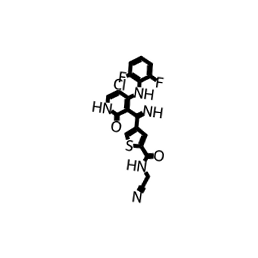 N#CCNC(=O)c1cc(C(=N)c2c(Nc3c(F)cccc3F)c(Cl)c[nH]c2=O)cs1